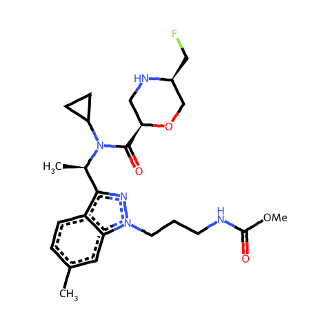 COC(=O)NCCCn1nc([C@@H](C)N(C(=O)[C@H]2CN[C@@H](CF)CO2)C2CC2)c2ccc(C)cc21